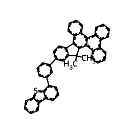 CC1(C)c2cc(-c3cccc(-c4cccc5c4sc4ccccc45)c3)ccc2-c2c1c1c3ccccc3c3ccccc3c1c1ccccc21